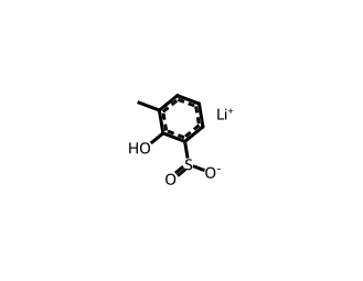 Cc1cccc(S(=O)[O-])c1O.[Li+]